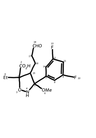 CCC1(C(=O)O)ONC(OC)(c2cc(F)cc(F)c2)C1CCC=O